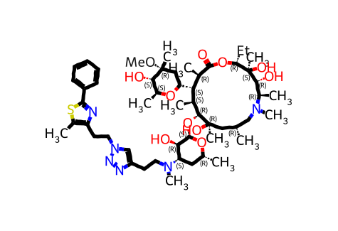 CC[C@H]1OC(=O)[C@H](C)[C@@H](C2C[C@@](C)(OC)[C@@H](O)[C@H](C)O2)[C@H](C)[C@@H](O[C@@H]2O[C@H](C)C[C@H](N(C)CCc3cn(CCc4nc(-c5ccccc5)sc4C)nn3)[C@H]2O)[C@](C)(O)C[C@@H](C)CN(C)[C@H](C)[C@@H](O)[C@]1(C)O